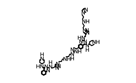 c1ccc2c(NC3CCNCC3)nc(NCc3cn(CCCNCCCNC4=NCC(c5ccc6c(NC7CCNCC7)nc(NCc7cn(CCCNCCCn8ccnc8)nn7)nc6c5)N4)nn3)nc2c1